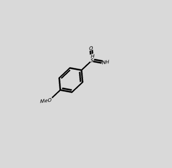 COc1ccc([SH](=N)=O)cc1